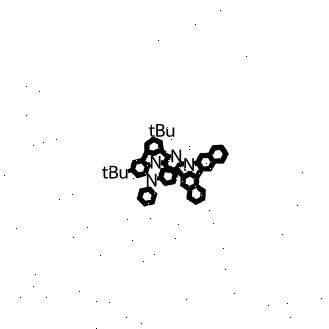 CC(C)(C)c1cc(N(c2ccccc2)c2ccccc2)c2c(c1)c1cc(C(C)(C)C)cc3c4nc5c(cc4n2c13)c1cc2ccccc2c2c3cc4ccccc4cc3n5c12